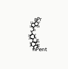 CCCCCc1ccc(-c2ccc(CCC3=CCC4C(CCC)CCC34)cc2)c(F)c1F